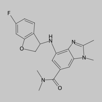 Cc1nc2c(NC3COc4cc(F)ccc43)cc(C(=O)N(C)C)cc2n1C